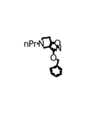 CCCN1CCc2onc(OCc3ccccc3)c2C1